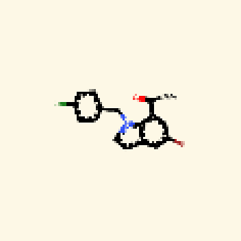 COC(=O)c1cc(Br)cc2ccn(Cc3ccc(Cl)cc3)c12